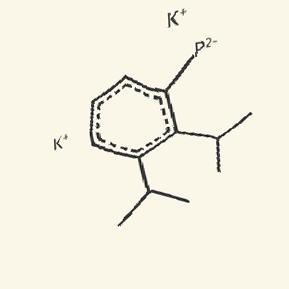 CC(C)c1cccc([P-2])c1C(C)C.[K+].[K+]